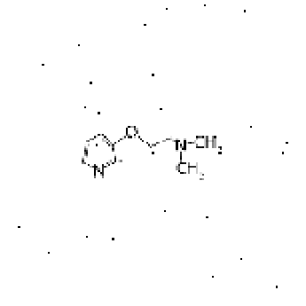 CN(C)CCOc1[c]nccc1